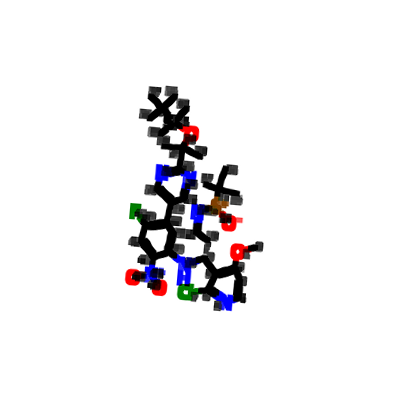 COc1ccnc(Cl)c1[C@@H](C/C=N\[S@+]([O-])C(C)(C)C)Nc1cc(-c2cnc(C(C)(C)O[Si](C)(C)C(C)(C)C)nc2)c(F)cc1[N+](=O)[O-]